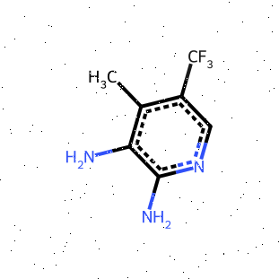 Cc1c(C(F)(F)F)cnc(N)c1N